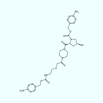 O=C(NCCSCC(=O)N1CCN(C(=O)[C@@H]2C[C@H](S)CN2C(=O)OCc2ccc([N+](=O)[O-])cc2)CC1)OCc1ccc([N+](=O)[O-])cc1